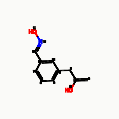 C=C(O)Cc1cccc(C=NO)c1